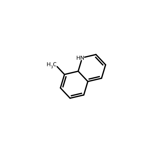 CC1=CC=CC2=CC=CNC12